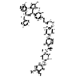 Cc1sc2c(c1C)C(c1ccc(CCN3CCOC4(CCN(c5ccc(C(=O)N[C@H]6CC[C@H](Oc7ccc(C#N)c(Cl)c7)CC6)nn5)CC4)C3)cc1)=N[C@@H](Cc1ncco1)c1nnc(C)n1-2